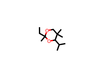 CCC1(C)OCC(C)(C)C(C(C)C)O1